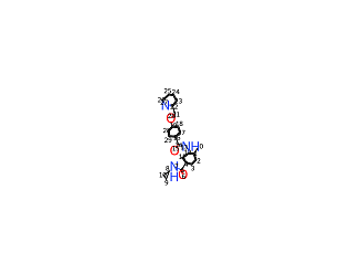 Cc1ccc(C(=O)NC2CC2)cc1NC(=O)c1ccc(OCc2ccccn2)cc1